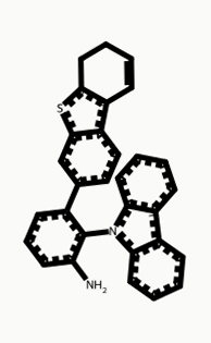 Nc1cccc(-c2ccc3c4c(sc3c2)CCC=C4)c1-n1c2ccccc2c2ccccc21